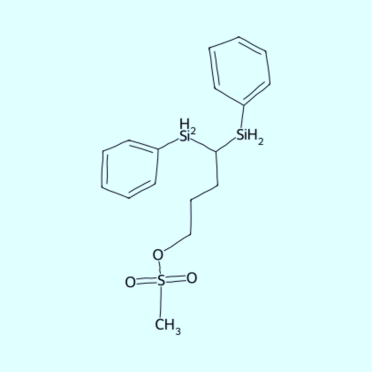 CS(=O)(=O)OCCCC([SiH2]c1ccccc1)[SiH2]c1ccccc1